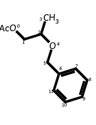 CC(=O)OCC(C)OCc1ccccc1